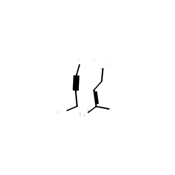 CC(C)CC=C(Br)Br.CCOC(=O)C#CCC(C)C